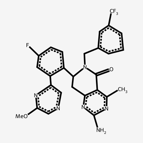 COc1cncc(-c2cc(F)ccc2C2Cc3nc(N)nc(C)c3C(=O)N2Cc2cccc(C(F)(F)F)c2)n1